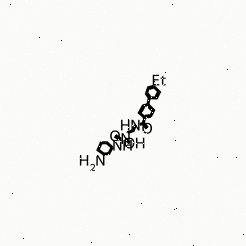 CCc1ccc(-c2ccc(C(=O)NCCN(O)C(=O)NC3CCCC(N)C3)cc2)cc1